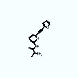 CC(N)C(=O)Nc1cccc(C#Cc2cccs2)n1